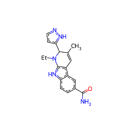 CCN1c2[nH]c3ccc(C(N)=O)cc3c2C=C(C)C1c1ccn[nH]1